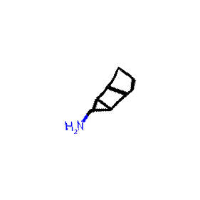 NC1C2C3CCC3C12